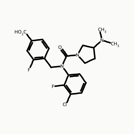 CN(C)C1CCN(C(=O)N(Cc2ccc(C(=O)O)cc2F)c2cccc(Cl)c2F)C1